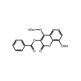 CCCCCCCCCCOc1c(OC(=O)c2ccccc2)c(=O)oc2c(OC)cccc12